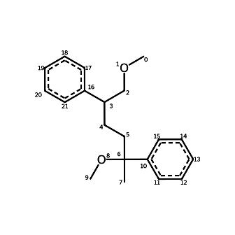 COCC(CCC(C)(OC)c1ccccc1)c1ccccc1